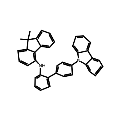 CC1(C)c2ccccc2-c2c(Nc3ccccc3-c3ccc(-n4c5ccccc5c5ccccc54)cc3)cccc21